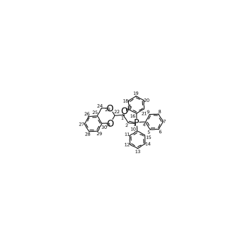 O=C(C=P(c1ccccc1)(c1ccccc1)c1ccccc1)C1OCc2ccccc2O1